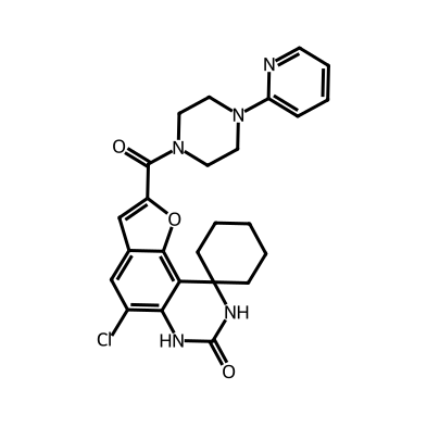 O=C1Nc2c(Cl)cc3cc(C(=O)N4CCN(c5ccccn5)CC4)oc3c2C2(CCCCC2)N1